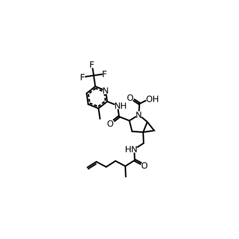 C=CCCC(C)C(=O)NCC12CC(C(=O)Nc3nc(C(F)(F)F)ccc3C)N(C(=O)O)C1C2